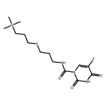 C[Si](C)(C)CCCSCCCNC(=O)n1cc(F)c(=O)[nH]c1=O